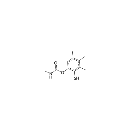 CNC(=O)Oc1cc(C)c(C)c(C)c1S